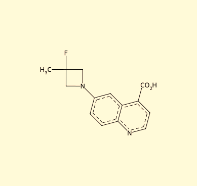 CC1(F)CN(c2ccc3nccc(C(=O)O)c3c2)C1